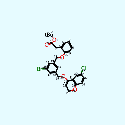 CC(C)(C)OC(=O)Cc1ccccc1OCc1cc(Br)cc(COC2CCOc3ccc(Cl)cc32)c1